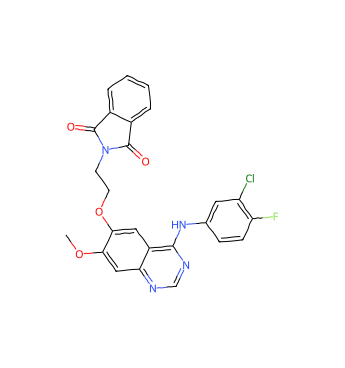 COc1cc2ncnc(Nc3ccc(F)c(Cl)c3)c2cc1OCCN1C(=O)c2ccccc2C1=O